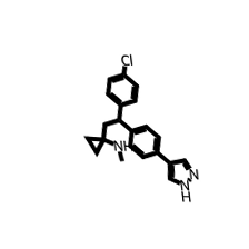 CNC1(CC(c2ccc(Cl)cc2)c2ccc(-c3cn[nH]c3)cc2)CC1